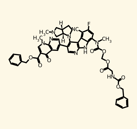 CN1C[C@@H]2CCN(c3c(-c4cnc5c(c4)c(=O)c(C(=O)OCc4ccccc4)cn5C)cnc4[nH]c5c(N(C)C(=O)OCOC(=O)CNC(=O)OCc6ccccc6)cc(F)c(C#N)c5c34)[C@@H]2C1